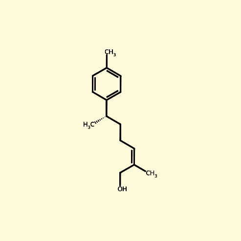 CC(=CCC[C@H](C)c1ccc(C)cc1)CO